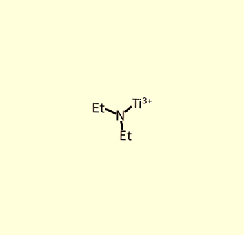 CC[N]([Ti+3])CC